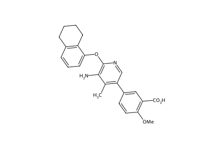 COc1ccc(-c2cnc(Oc3cccc4c3CCCC4)c(N)c2C)cc1C(=O)O